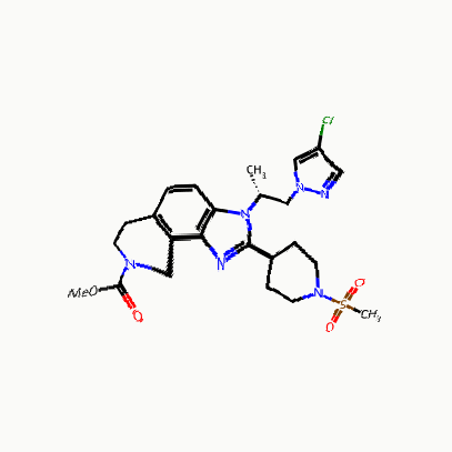 COC(=O)N1CCc2ccc3c(nc(C4CCN(S(C)(=O)=O)CC4)n3[C@H](C)Cn3cc(Cl)cn3)c2C1